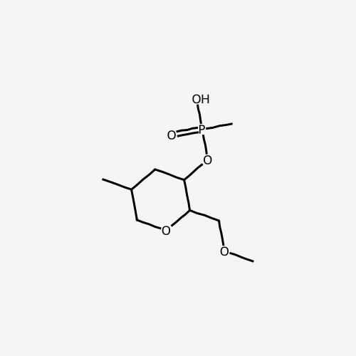 COCC1OCC(C)CC1OP(C)(=O)O